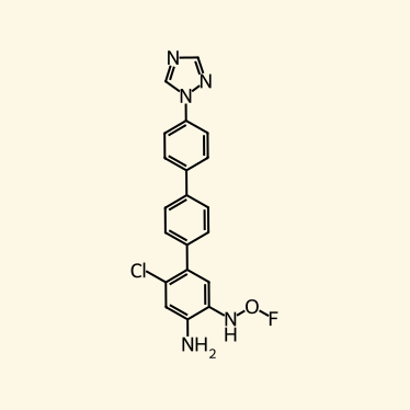 Nc1cc(Cl)c(-c2ccc(-c3ccc(-n4cncn4)cc3)cc2)cc1NOF